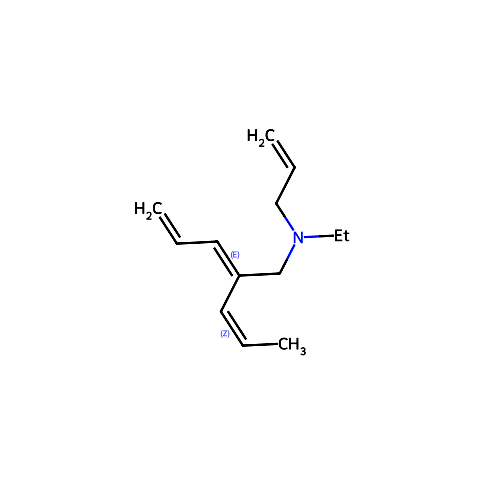 C=C/C=C(\C=C/C)CN(CC)CC=C